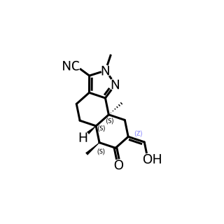 C[C@@H]1C(=O)/C(=C\O)C[C@]2(C)c3nn(C)c(C#N)c3CC[C@@H]12